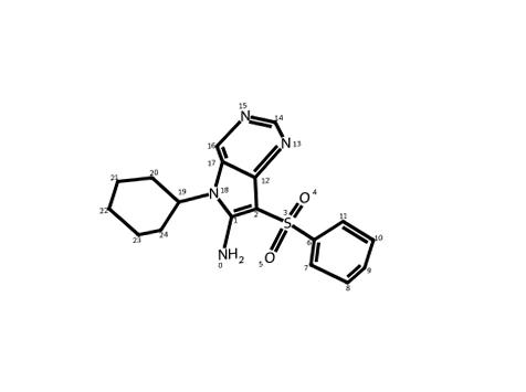 Nc1c(S(=O)(=O)c2ccccc2)c2ncncc2n1C1CCCCC1